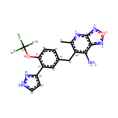 Cc1nc2nonc2c(N)c1Cc1ccc(OC(F)(F)F)c(-c2cc[nH]n2)c1